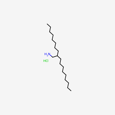 CCCCCCCCCC(CN)CCCCCCCC.Cl